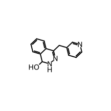 OC1NN=C(Cc2cccnc2)c2ccccc21